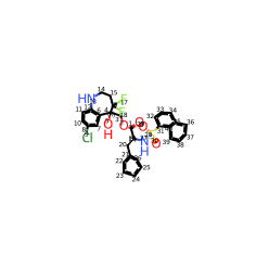 O=C(OC[C@]1(O)c2cc(Cl)ccc2NCCC1(F)F)[C@H](Cc1ccccc1)NS(=O)(=O)c1cccc2ccccc12